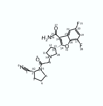 N#C[C@@H]1CCCN1C(=O)CN1CC[C@H](c2oc3c(F)cc(F)cc3c2C(N)=O)C1